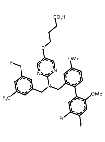 COc1ccc(-c2cc(C(C)C)c(F)cc2OC)c(CN(Cc2cc(CF)cc(C(F)(F)F)c2)c2ncc(OCCCC(=O)O)cn2)c1